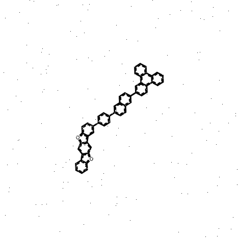 c1ccc2c(c1)oc1cc3c(cc12)oc1ccc(-c2ccc(-c4ccc5cc(-c6ccc7c8ccccc8c8ccccc8c7c6)ccc5c4)cc2)cc13